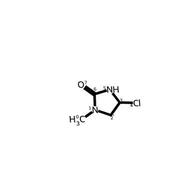 CN1[CH]C(Cl)NC1=O